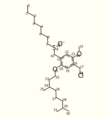 CCCCCCCC[S+]([O-])Cc1cc(OC)c(CCl)cc1OCCC(C)CCCC(C)C